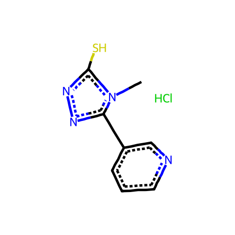 Cl.Cn1c(S)nnc1-c1cccnc1